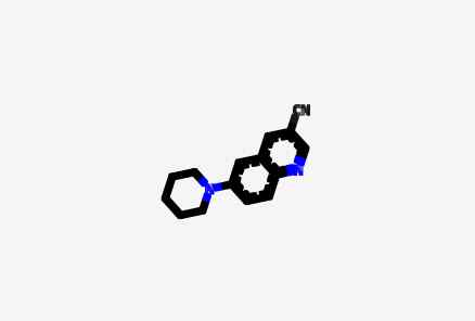 N#Cc1cnc2ccc(N3CCCCC3)cc2c1